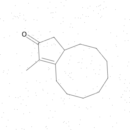 CC1=C2CCCCCCCCC2CC1=O